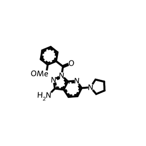 COc1ccccc1C(=O)n1nc(N)c2ccc(N3CCCC3)nc21